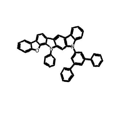 c1ccc(-c2cc(-c3ccccc3)cc(-n3c4ccccc4c4cc5c6ccc7c8ccccc8oc7c6n(-c6ccccc6)c5cc43)c2)cc1